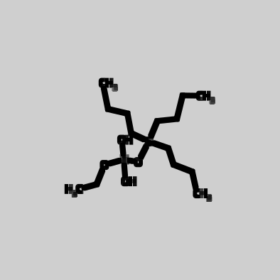 CCCC[Si](CCCC)(CCCC)[O][Ti]([OH])([OH])[O]CC